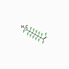 CC(F)C(F)(F)C(F)(F)C(F)(F)C(F)(F)C(F)(F)/C(F)=[C]\F